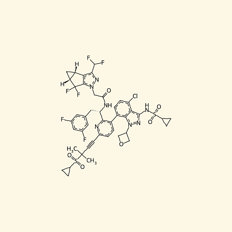 CC(C)(C#Cc1ccc(-c2ccc(Cl)c3c(NS(=O)(=O)C4CC4)nn(C4COC4)c23)c([C@H](Cc2cc(F)cc(F)c2)NC(=O)Cn2nc(C(F)F)c3c2C(F)(F)[C@@H]2C[C@H]32)n1)S(=O)(=O)C1CC1